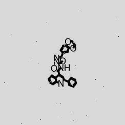 O=C(Nc1nnc(-c2ccc3c(c2)OCCO3)o1)c1cc(-c2ccccc2)nc2ccccc12